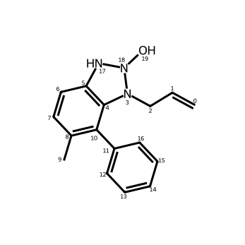 C=CCN1c2c(ccc(C)c2-c2ccccc2)NN1O